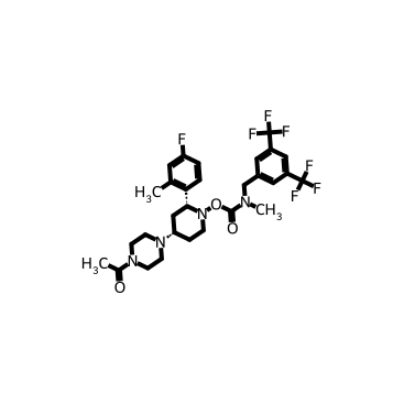 CC(=O)N1CCN([C@H]2CCN(OC(=O)N(C)Cc3cc(C(F)(F)F)cc(C(F)(F)F)c3)[C@@H](c3ccc(F)cc3C)C2)CC1